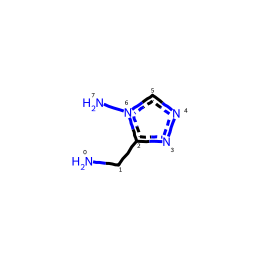 NCc1nncn1N